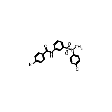 CN(c1ccc(Cl)cc1)S(=O)(=O)c1cccc(NC(=O)c2ccc(Br)cc2)c1